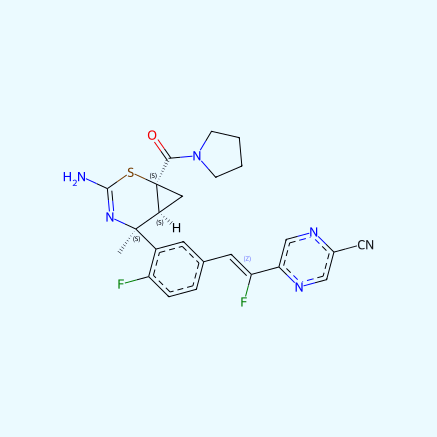 C[C@]1(c2cc(/C=C(\F)c3cnc(C#N)cn3)ccc2F)N=C(N)S[C@@]2(C(=O)N3CCCC3)C[C@H]21